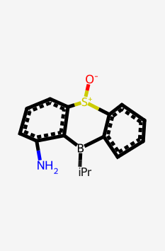 CC(C)B1c2ccccc2[S+]([O-])c2cccc(N)c21